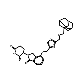 O=C1CCC(N2Cc3c(SCc4csc(COCC56CC7CC(CC(C7)C5)C6)n4)cccc3C2=O)C(=O)N1